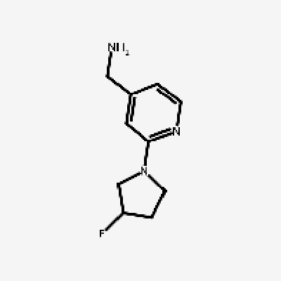 NCc1ccnc(N2CCC(F)C2)c1